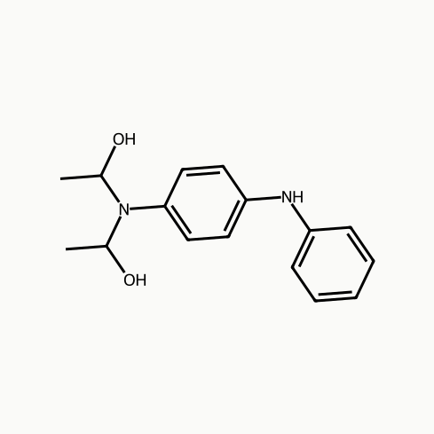 CC(O)N(c1ccc(Nc2ccccc2)cc1)C(C)O